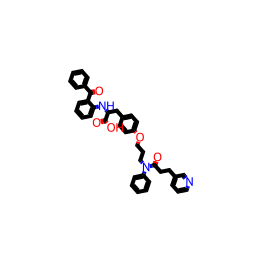 O=C(c1ccccc1)c1ccccc1NC(Cc1ccc(OCCCN(C(=O)CCc2cccnc2)c2ccccc2)cc1)C(=O)O